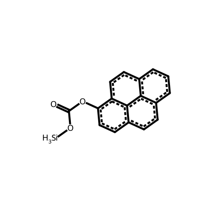 O=C(O[SiH3])Oc1ccc2ccc3cccc4ccc1c2c34